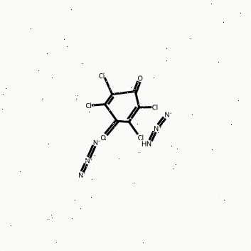 O=C1C(Cl)=C(Cl)C(=O)C(Cl)=C1Cl.[N-]=[N+]=N.[N-]=[N+]=[N-]